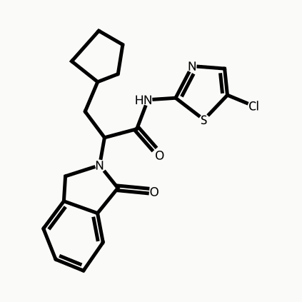 O=C(Nc1ncc(Cl)s1)C(CC1CCCC1)N1Cc2ccccc2C1=O